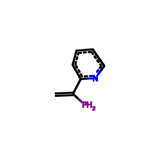 C=C(P)c1ccccn1